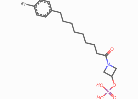 CC(C)c1ccc(CCCCCCCCC(=O)N2CC(OP(=O)(O)O)C2)cc1